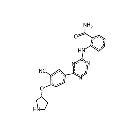 N#Cc1cc(-c2ncnc(Nc3ccccc3C(N)=O)n2)ccc1O[C@@H]1CCNC1